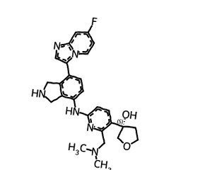 CN(C)Cc1nc(Nc2ccc(-c3cnc4cc(F)ccn34)c3c2CNC3)ccc1[C@@]1(O)CCOC1